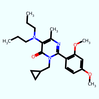 CCCN(CCC)c1c(C)nc(-c2ccc(OC)cc2OC)n(CC2CC2)c1=O